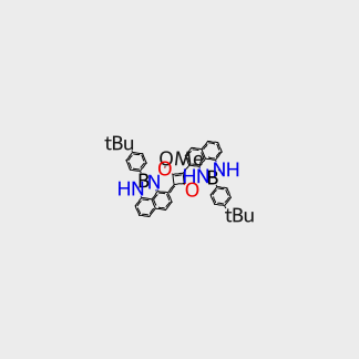 COOC1=C(c2ccc3cccc4c3c2NB(c2ccc(C(C)(C)C)cc2)N4)C(=O)/C1=c1\ccc2cccc3c2c1=NB(c1ccc(C(C)(C)C)cc1)N3